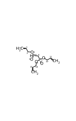 C=CCO[PH](=O)CP(=O)(OCC=C)OCC=C